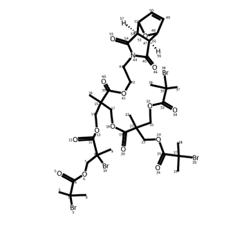 CC(C)(Br)C(=O)OCC(C)(Br)C(=O)OCC(C)(COC(=O)C(C)(COC(=O)C(C)(C)Br)COC(=O)C(C)(C)Br)C(=O)OCCN1C(=O)[C@@H]2C3C=CC(O3)[C@@H]2C1=O